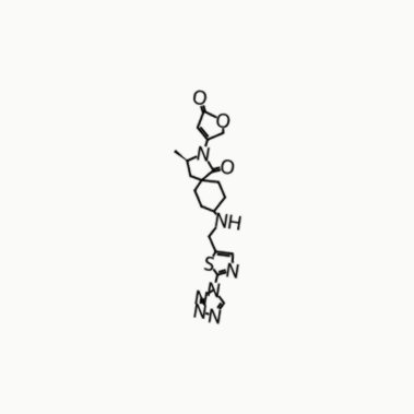 C[C@@H]1CC2(CCC(NCc3cnc(-n4cnnn4)s3)CC2)C(=O)N1C1=CC(=O)OC1